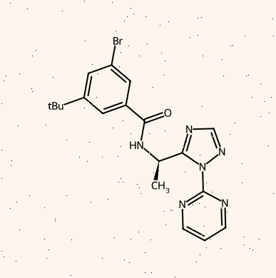 C[C@@H](NC(=O)c1cc(Br)cc(C(C)(C)C)c1)c1ncnn1-c1ncccn1